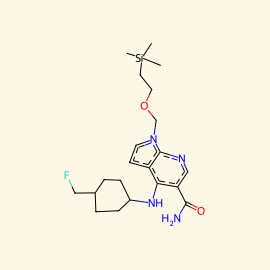 C[Si](C)(C)CCOCn1ccc2c(NC3CCC(CF)CC3)c(C(N)=O)cnc21